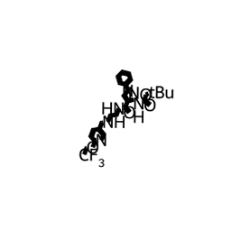 CC(C)(C)OC(=O)Nc1nn(-c2ccccc2)cc1C(=O)NCCNCc1ccc(OCC(F)(F)F)nc1